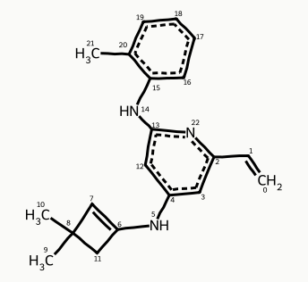 C=Cc1cc(NC2=CC(C)(C)C2)cc(Nc2ccccc2C)n1